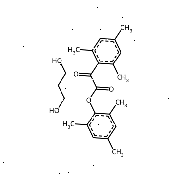 Cc1cc(C)c(OC(=O)C(=O)c2c(C)cc(C)cc2C)c(C)c1.OCCCO